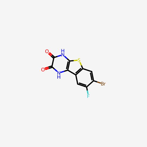 O=c1[nH]c2sc3cc(Br)c(F)cc3c2[nH]c1=O